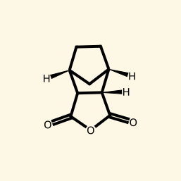 O=C1OC(=O)[C@@H]2C1[C@@H]1CC[C@H]2C1